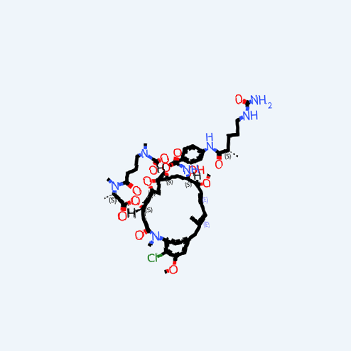 COc1cc2cc(c1Cl)N(C)C(=O)C[C@H](OC(=O)[C@H](C)N(C)C(=O)CCCN(C)C(=O)OCc1ccc(NC(=O)[C@@H](C)CCCNC(N)=O)cc1)[C@@]1(C)CC(C)(O1)[C@@H]1C[C@@](O)(NC(=O)O1)[C@H](OC)/C=C/C=C(\C)C2